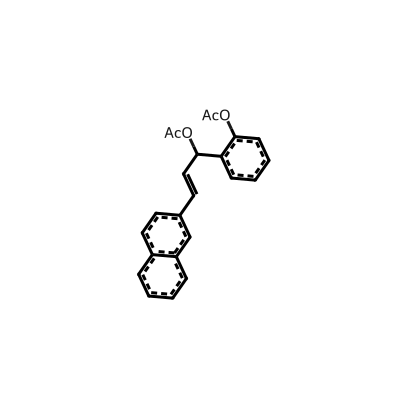 CC(=O)Oc1ccccc1C(/C=C/c1ccc2ccccc2c1)OC(C)=O